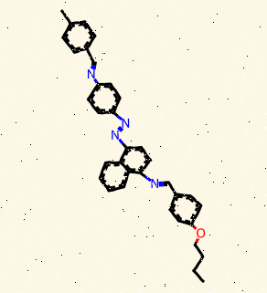 CCCCOc1ccc(C=Nc2ccc(N=Nc3ccc(N=Cc4ccc(C)cc4)cc3)c3ccccc23)cc1